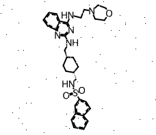 O=S(=O)(NC[C@H]1CC[C@H](CNc2nc(NCCN3CCOCC3)c3ccccc3n2)CC1)c1ccc2ccccc2c1